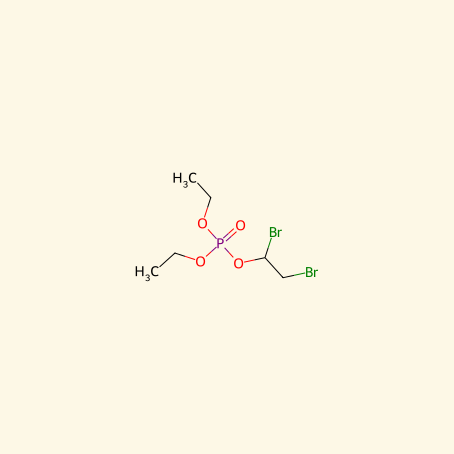 CCOP(=O)(OCC)OC(Br)CBr